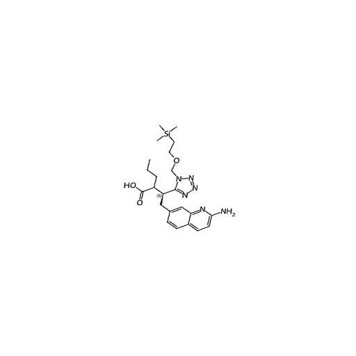 CCCC(C(=O)O)[C@H](Cc1ccc2ccc(N)nc2c1)c1nnnn1COCC[Si](C)(C)C